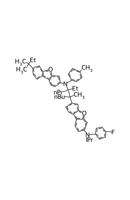 CCCCC(C)(c1ccc2c(c1)oc1cc(N(c3ccc(F)cc3)C(C)C)ccc12)C(CC)(CCC)N(c1ccc(C)cc1)c1ccc2c(c1)oc1cc(C(C)(C)CC)ccc12